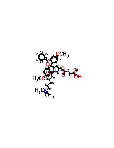 COc1ccc(C(OCc2ccccc2)(c2ccc(OC)cc2)C2CC(OC(=O)CCC(=O)O)CN2C(=O)CCCCCN(C)C)cc1